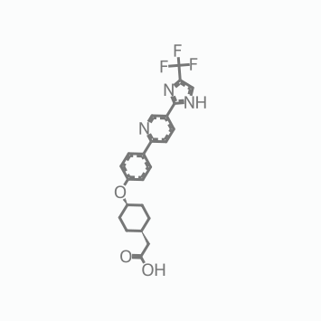 O=C(O)C[C@H]1CC[C@@H](Oc2ccc(-c3ccc(-c4nc(C(F)(F)F)c[nH]4)cn3)cc2)CC1